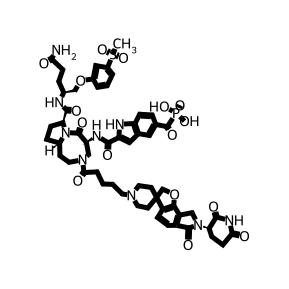 CS(=O)(=O)c1cccc(OC[C@H](CCC(N)=O)NC(=O)[C@@H]2CC[C@@H]3CCN(C(=O)CCCCN4CCC5(CC4)COc4c5ccc5c4CN([C@H]4CCC(=O)NC4=O)C5=O)C[C@H](NC(=O)c4cc5cc(C(=O)P(=O)(O)O)ccc5[nH]4)C(=O)N32)c1